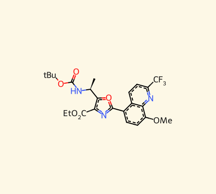 CCOC(=O)c1nc(-c2ccc(OC)c3nc(C(F)(F)F)ccc23)oc1[C@H](C)NC(=O)OC(C)(C)C